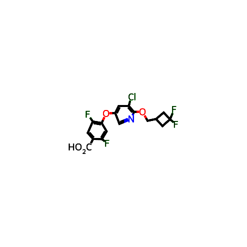 O=C(O)c1cc(F)c(Oc2cnc(OCC3CC(F)(F)C3)c(Cl)c2)cc1F